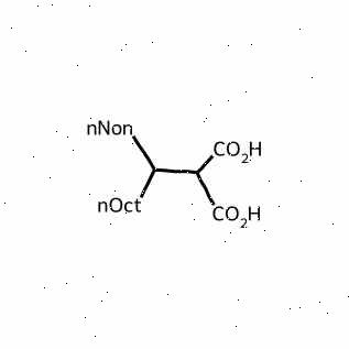 CCCCCCCCCC(CCCCCCCC)C(C(=O)O)C(=O)O